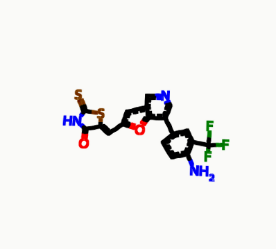 Nc1ccc(-c2cncc3cc(/C=C4\SC(=S)NC4=O)oc23)cc1C(F)(F)F